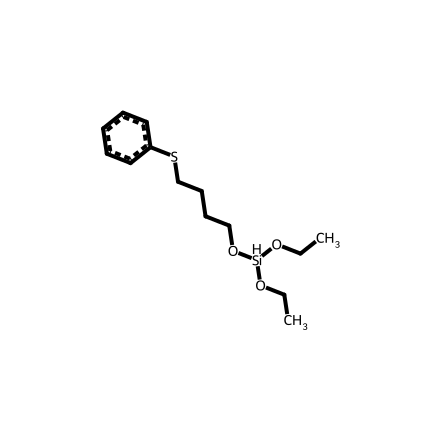 CCO[SiH](OCC)OCCCCSc1ccccc1